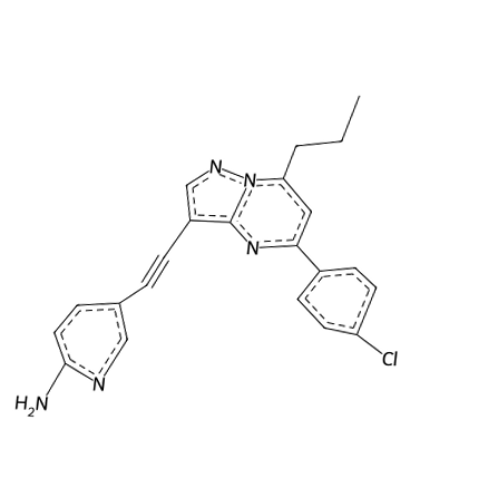 CCCc1cc(-c2ccc(Cl)cc2)nc2c(C#Cc3ccc(N)nc3)cnn12